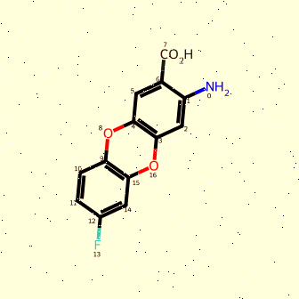 Nc1cc2c(cc1C(=O)O)Oc1ccc(F)cc1O2